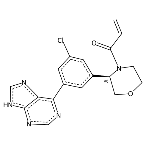 C=CC(=O)N1CCOC[C@H]1c1cc(Cl)cc(-c2ncnc3[nH]cnc23)c1